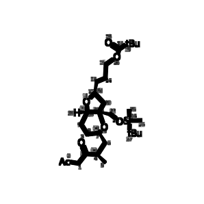 CC(=O)CC(=O)[C@H](C)C[C@H]1CC[C@@H]2O[C@@H](CCCOC(=O)C(C)(C)C)C[C@]2(CO[Si](C)(C)C(C)(C)C)O1